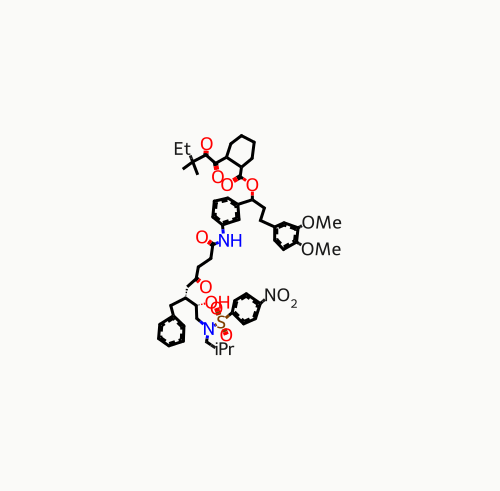 CCC(C)(C)C(=O)C(=O)C1CCCCC1C(=O)OC(CCc1ccc(OC)c(OC)c1)c1cccc(NC(=O)CCC(=O)C[C@@H](Cc2ccccc2)[C@H](O)CN(CC(C)C)S(=O)(=O)c2ccc([N+](=O)[O-])cc2)c1